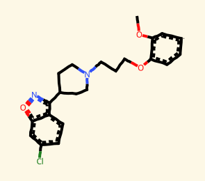 COc1c[c]ccc1OCCCN1CCC(c2noc3cc(Cl)ccc23)CC1